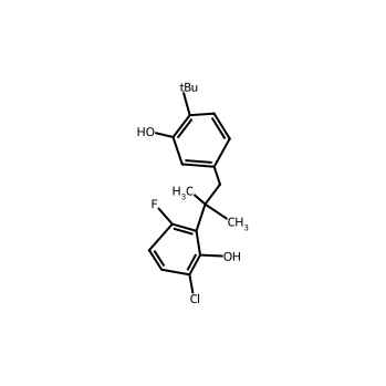 CC(C)(C)c1ccc(CC(C)(C)c2c(F)ccc(Cl)c2O)cc1O